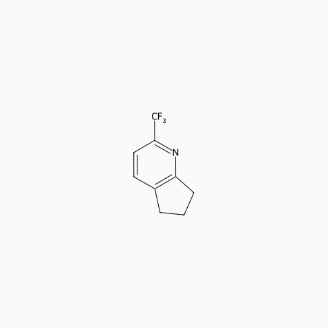 FC(F)(F)c1ccc2c(n1)CCC2